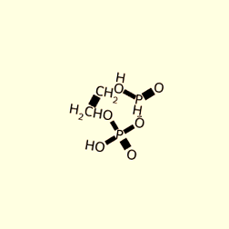 C=C.O=[PH](O)OP(=O)(O)O